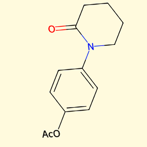 CC(=O)Oc1ccc(N2CCCCC2=O)cc1